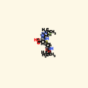 CC(C)c1nc2ncnc(Nc3cc(C(=O)O)ccc3Sc3ccc(NC(=O)OC(C)(C)C)cc3)c2cc1F